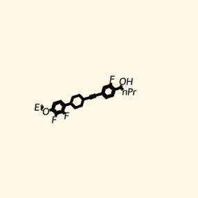 CCCC(O)c1ccc(C#CC2CCC(c3ccc(OCC)c(F)c3F)CC2)cc1F